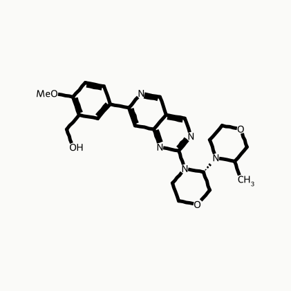 COc1ccc(-c2cc3nc(N4CCOC[C@H]4N4CCOCC4C)ncc3cn2)cc1CO